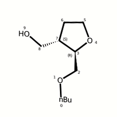 CCCCOC[C@@H]1OCC[C@H]1CO